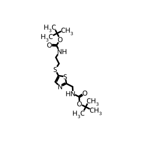 CC(C)(C)OC(=O)NCCSc1cnc(CNC(=O)OC(C)(C)C)s1